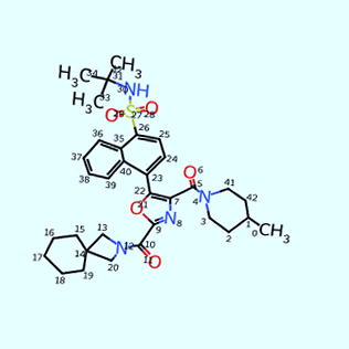 CC1CCN(C(=O)c2nc(C(=O)N3CC4(CCCCC4)C3)oc2-c2ccc(S(=O)(=O)NC(C)(C)C)c3ccccc23)CC1